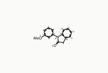 COc1cccc(N2C(=O)Cc3ccccc32)c1